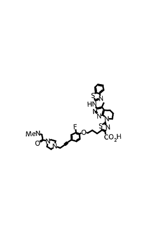 CNCC(=O)N1CCN(CC#Cc2ccc(OCCCc3sc(N4CCCc5c4nnc(Nc4nc6ccccc6s4)c5C)nc3C(=O)O)c(F)c2)CC1